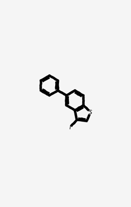 Ic1csc2ccc(-c3ccccc3)cc12